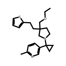 CCOCC1(CCc2cccs2)CCN(C2(c3ccc(C)nc3)CC2)C1